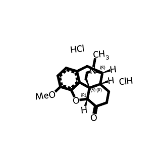 COc1ccc2c3c1O[C@H]1C(=O)CC[C@H]4[C@@H](C2)N(C)CC[C@]314.Cl.Cl